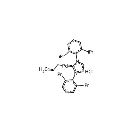 C=C[CH2][Pd]=[c]1n(-c2c(C(C)C)cccc2C(C)C)ccn1-c1c(C(C)C)cccc1C(C)C.Cl